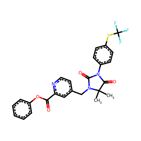 CC1(C)C(=O)N(c2ccc(SC(F)(F)F)cc2)C(=O)N1Cc1ccnc(C(=O)Oc2ccccc2)c1